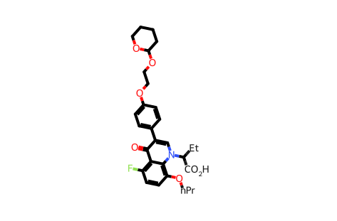 CCCOc1ccc(F)c2c(=O)c(-c3ccc(OCCOC4CCCCO4)cc3)cn(C(CC)C(=O)O)c12